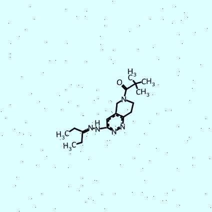 CCC(CC)=NNc1cc2c(nn1)CCN(C(=O)C(C)(C)C)C2